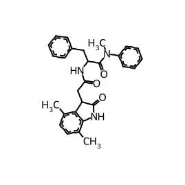 Cc1ccc(C)c2c1NC(=O)C2CC(=O)NC(Cc1ccccc1)C(=O)N(C)c1ccccc1